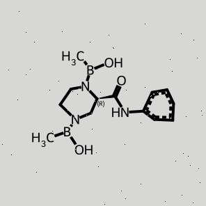 CB(O)N1CCN(B(C)O)[C@@H](C(=O)Nc2ccccc2)C1